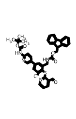 CC(C)(C)OC(=O)Nc1ccc(-c2cc(Cl)c(Sc3ncccc3C=O)c(CNC(=O)OCC3c4ccccc4-c4ccccc43)c2)cn1